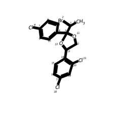 CC(Br)C1(c2ccc(Cl)cc2)OCC(c2ccc(Cl)cc2Cl)O1